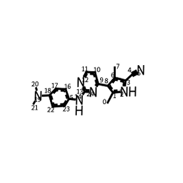 Cc1[nH]c(C#N)c(C)c1-c1ccnc(Nc2ccc(N(C)C)cc2)n1